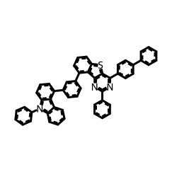 c1ccc(-c2ccc(-c3nc(-c4ccccc4)nc4c3sc3cccc(-c5cccc(-c6cccc7c6c6ccccc6n7-c6ccccc6)c5)c34)cc2)cc1